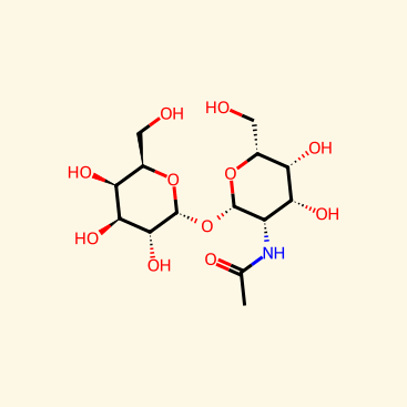 CC(=O)N[C@@H]1[C@H](O[C@H]2O[C@H](CO)[C@H](O)[C@H](O)[C@H]2O)O[C@H](CO)[C@H](O)[C@@H]1O